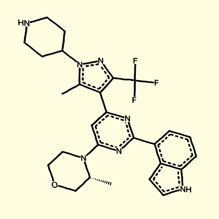 Cc1c(-c2cc(N3CCOC[C@H]3C)nc(-c3cccc4[nH]ccc34)n2)c(C(F)(F)F)nn1C1CCNCC1